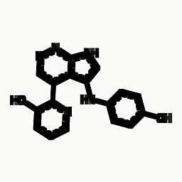 Oc1ccc(Nc2c[nH]c3nncc(-c4ncccc4O)c23)cc1